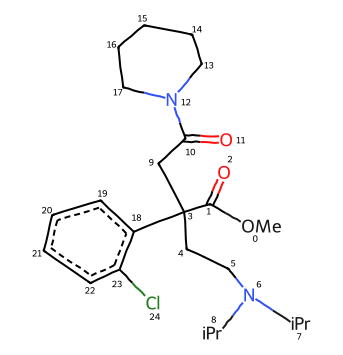 COC(=O)C(CCN(C(C)C)C(C)C)(CC(=O)N1CCCCC1)c1ccccc1Cl